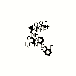 Cc1nc2c(OCc3c(F)cccc3F)cccn2c1C(=O)NCC1(NC(=O)OC(=O)C(F)(F)F)CC1